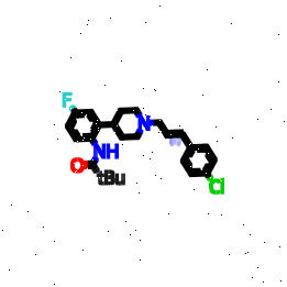 CC(C)(C)C(=O)Nc1ccc(F)cc1C1CCN(C/C=C/c2ccc(Cl)cc2)CC1